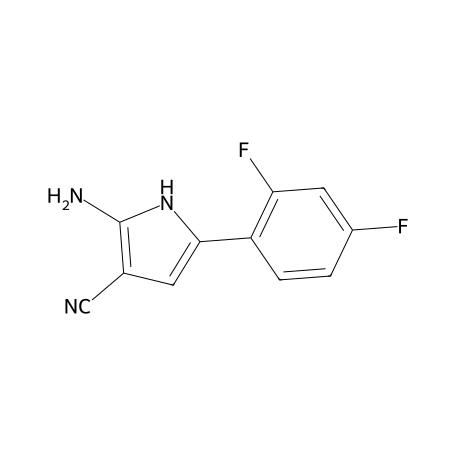 N#Cc1cc(-c2ccc(F)cc2F)[nH]c1N